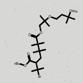 CCCCOC(=O)C(CC(C)(C)C(C)(C)C(=O)OCC(C)(C)OCCC(C)(C)OC)C(C)(C)Br